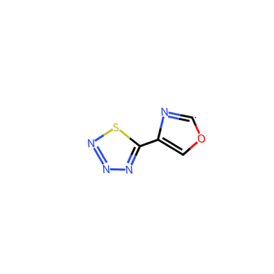 [c]1nc(-c2nnns2)co1